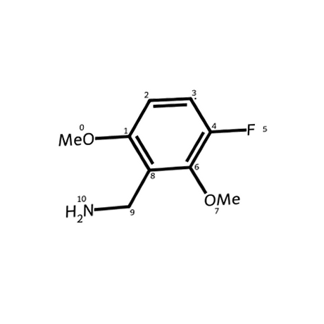 COc1c[c]c(F)c(OC)c1CN